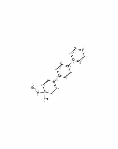 CCOC1(C#N)C=CC(c2ccc(-c3ccccc3)cc2)=CC1